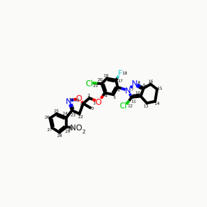 CC1(COc2cc(-n3nc4c(c3Cl)CCCC4)c(F)cc2Cl)CC(c2ccccc2[N+](=O)[O-])=NO1